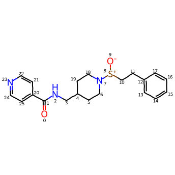 O=C(NCC1CCN([S+]([O-])CCc2ccccc2)CC1)c1ccncc1